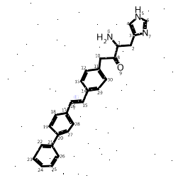 NC(Cc1c[nH]cn1)C(=O)Cc1ccc(/C=C/c2ccc(-c3ccccc3)cc2)cc1